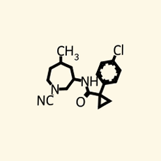 CC1CCN(C#N)CC(NC(=O)C2(c3ccc(Cl)cc3)CC2)C1